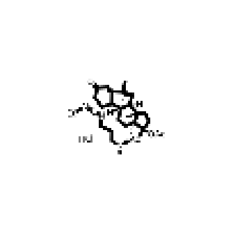 CC(=O)O[C@]1(C(C)=O)CC[C@H]2[C@@H]3C=C(C)C4=CC(=O)CC[C@]4(C)[C@H]3CC[C@@]21C.CCN=C=NCCCN(C)C.Cl